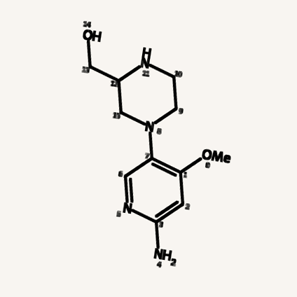 COc1cc(N)ncc1N1CCNC(CO)C1